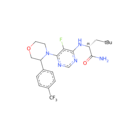 CC(C)(C)C[C@@H](Nc1ncnc(N2CCOCC2c2ccc(C(F)(F)F)cc2)c1F)C(N)=O